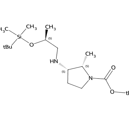 C[C@@H](CN[C@H]1CCN(C(=O)OC(C)(C)C)[C@H]1C)O[Si](C)(C)C(C)(C)C